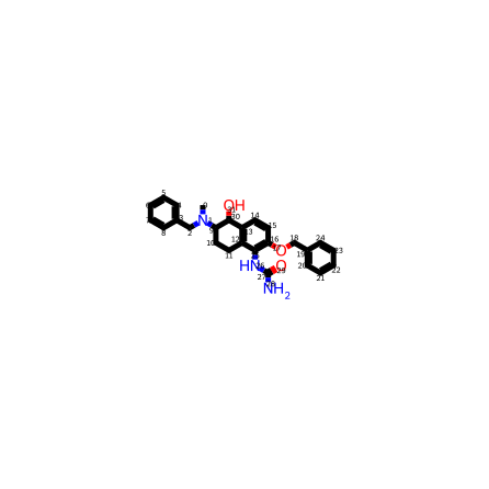 CN(Cc1ccccc1)C1CCc2c(ccc(OCc3ccccc3)c2NC(N)=O)C1O